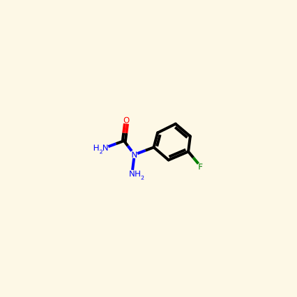 NC(=O)N(N)c1cccc(F)c1